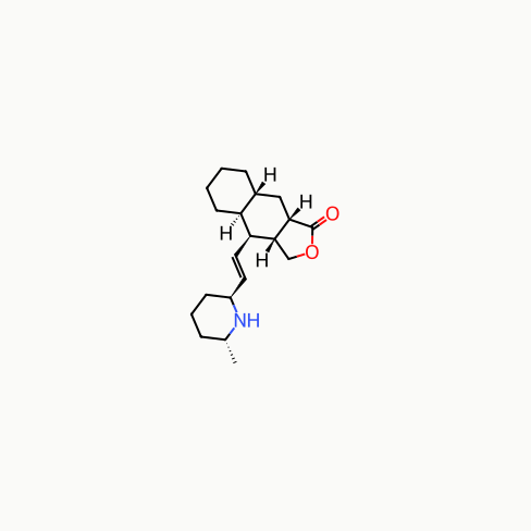 C[C@@H]1CCC[C@@H](/C=C/[C@@H]2[C@H]3COC(=O)[C@H]3C[C@H]3CCCC[C@@H]32)N1